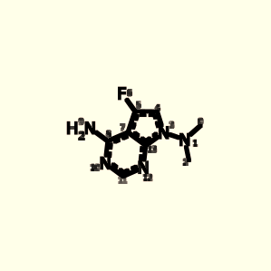 CN(C)n1cc(F)c2c(N)ncnc21